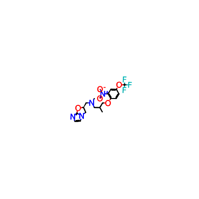 CC(COc1ccc(OC(F)(F)F)cc1[N+](=O)[O-])CN(C)C[C@H]1Cn2ccnc2O1